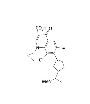 CNC(C)C1CCN(c2c(F)cc3c(=O)c(C(=O)O)cn(C4CC4)c3c2Cl)C1